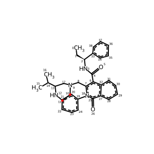 CC[C@H](NC(=O)c1c(CN2CCNC(C(C)C)C2)n(-c2ccccc2)c(=O)c2ccccc12)c1ccccc1